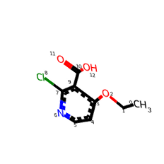 CCOc1ccnc(Cl)c1C(=O)O